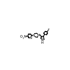 O=[N+]([O-])c1ccc(N2CCN(Cc3c[nH]nc3-c3ccc(F)cc3)CC2)nc1